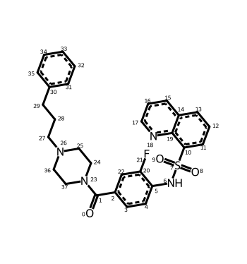 O=C(c1ccc(NS(=O)(=O)c2cccc3cccnc23)c(F)c1)N1CCN(CCCc2ccccc2)CC1